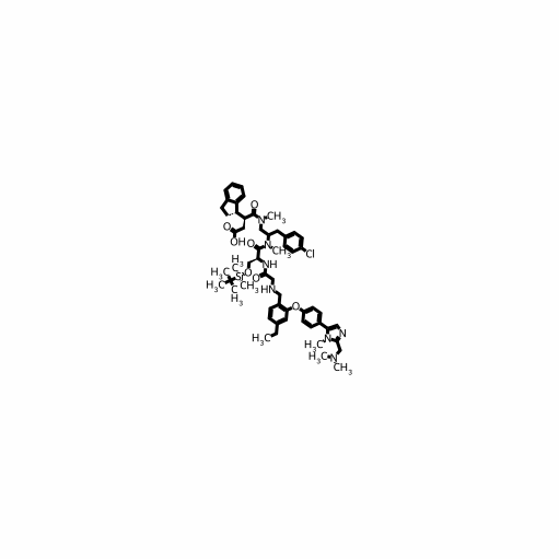 CCc1ccc(CNCC(=O)N[C@@H](CO[Si](C)(C)C(C)(C)C)C(=O)N(C)C(Cc2ccc(Cl)cc2)CN(C)C(=O)[C@@H](CC(=O)O)[C@@H]2CCc3ccccc32)c(Oc2ccc(-c3cnc(CN(C)C)n3C)cc2)c1